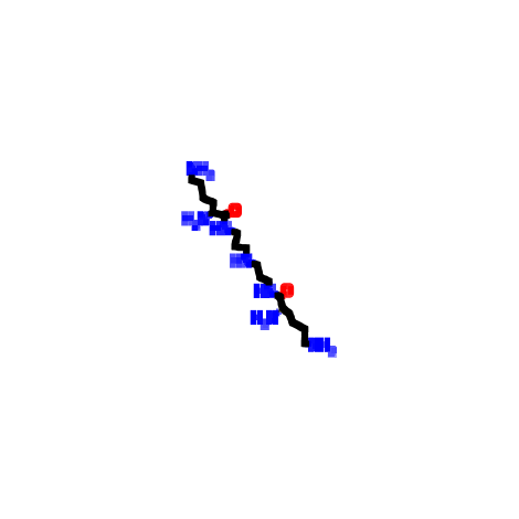 NCCCC[C@H](N)C(=O)NCCCNCCCNC(=O)[C@@H](N)CCCCN